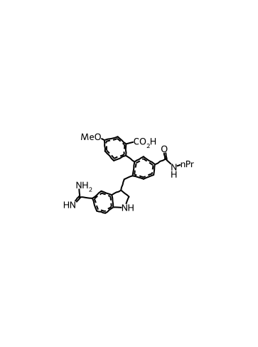 CCCNC(=O)c1ccc(CC2CNc3ccc(C(=N)N)cc32)c(-c2ccc(OC)cc2C(=O)O)c1